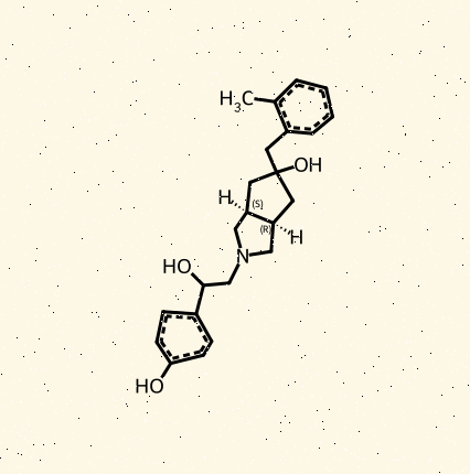 Cc1ccccc1CC1(O)C[C@H]2CN(CC(O)c3ccc(O)cc3)C[C@H]2C1